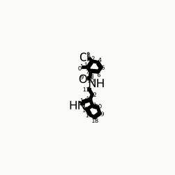 [CH2]c1c(Cl)cccc1C(=O)NCCc1c[nH]c2ccccc12